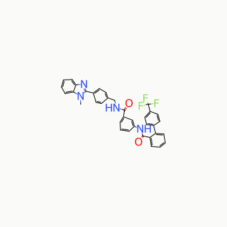 Cn1c(-c2ccc(CNC(=O)c3cccc(NC(=O)c4ccccc4-c4ccc(C(F)(F)F)cc4)c3)cc2)nc2ccccc21